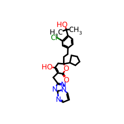 CC(C)(O)c1ccc(CCC2(C3CCCC3)CC(O)=C(Cc3nc4ncccn4n3)C(=O)O2)cc1Cl